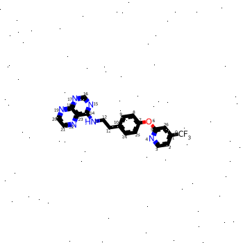 FC(F)(F)c1ccnc(Oc2ccc(CCNc3ncnc4nccnc34)cc2)c1